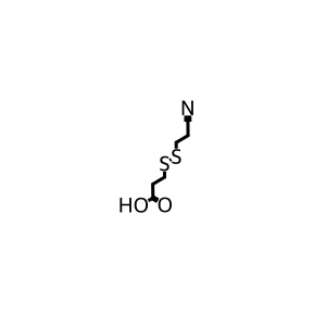 N#CCCSSCCC(=O)O